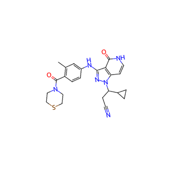 Cc1cc(Nc2nn(C(CC#N)C3CC3)c3cc[nH]c(=O)c23)ccc1C(=O)N1CCSCC1